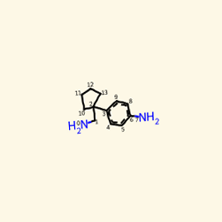 NCC1(c2ccc(N)cc2)CCCC1